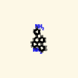 Nc1ccc(C=Cc2ccc(N)c(-c3ccccc3)c2-c2ccccc2)cc1